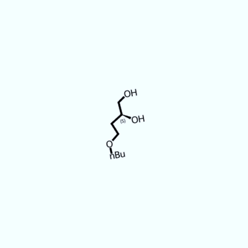 CCCCOCC[C@H](O)CO